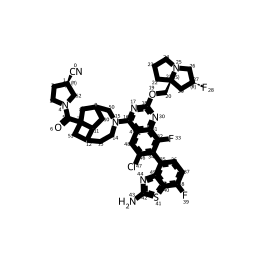 N#C[C@@H]1CCN(C(=O)C23CC4CC2C(CCN(c2nc(OC[C@@]56CCCN5C[C@H](F)C6)nc5c(F)c(-c6ccc(F)c7sc(N)nc67)c(Cl)cc25)C4)C3)C1